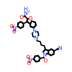 N#Cc1ccc2c(c1)c(CCCCN1CCN(c3ccc4oc(C(N)=O)c(-c5ccc([N+](=O)[O-])cc5)c4c3)CC1)cn2C(=O)c1ccc([N+](=O)[O-])cc1